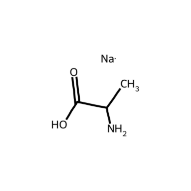 CC(N)C(=O)O.[Na]